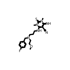 COCCN(CCCNc1c(C#N)c(=N)n(C)c(=S)n1C)Cc1ccc(F)cc1